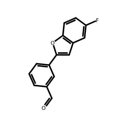 O=Cc1cccc(-c2cc3cc(F)ccc3o2)c1